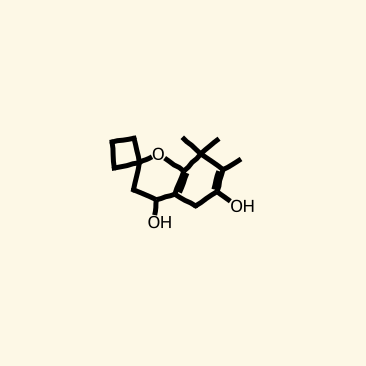 CC1=C(O)CC2=C(OC3(CCC3)CC2O)C1(C)C